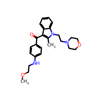 COCCNc1ccc(C(=O)c2c(C)n(CCN3CCOCC3)c3ccccc23)cc1